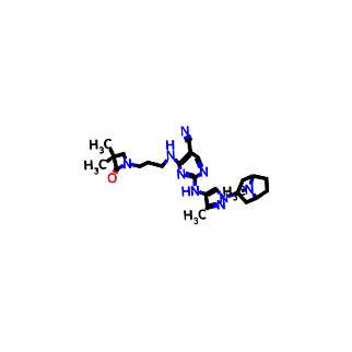 Cc1nn(C2CC3CCC(C2)N3C)cc1Nc1ncc(C#N)c(NCCCN2CC(C)(C)C2=O)n1